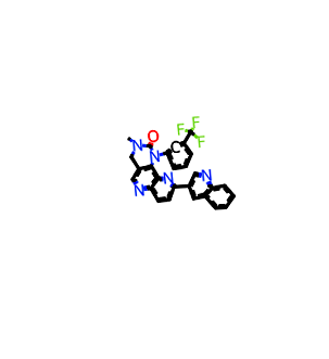 CN1Cc2cnc3ccc(-c4cnc5ccccc5c4)nc3c2N(c2cccc(C(F)(F)F)c2)C1=O